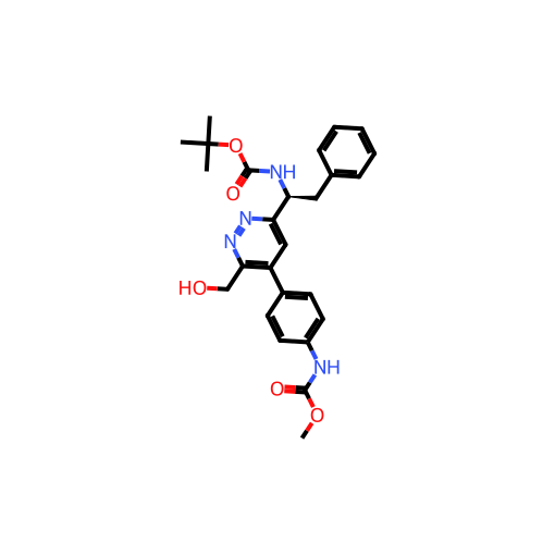 COC(=O)Nc1ccc(-c2cc([C@H](Cc3ccccc3)NC(=O)OC(C)(C)C)nnc2CO)cc1